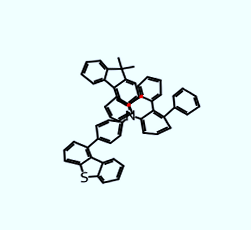 CC1(C)c2ccccc2-c2cc(N(c3ccc(-c4cccc5sc6ccccc6c45)cc3)c3cccc(-c4ccccc4)c3-c3ccccc3-c3ccccc3)ccc21